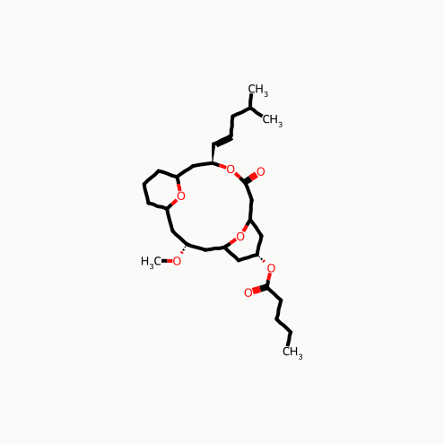 CCCCC(=O)O[C@H]1CC2CC(=O)O[C@H](/C=C/CC(C)C)CC3CCCC(C[C@@H](OC)CC(C1)O2)O3